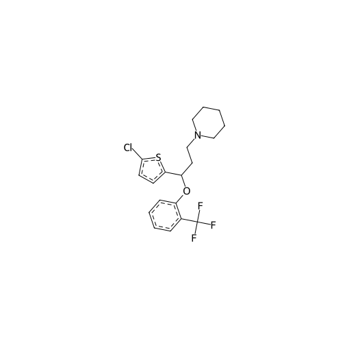 FC(F)(F)c1ccccc1OC(CCN1CCCCC1)c1ccc(Cl)s1